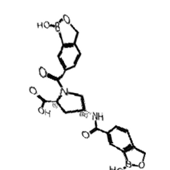 O=C(N[C@@H]1C[C@@H](C(=O)O)N(C(=O)c2ccc3c(c2)B(O)OC3)C1)c1ccc2c(c1)B(O)OC2